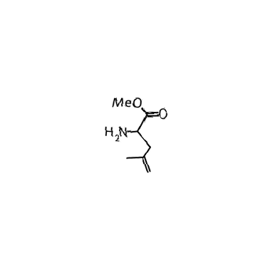 C=C(C)CC(N)C(=O)OC